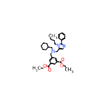 CCCCn1c(CN(Cc2cc(C(=O)OCC)cc(C(=O)OCC)c2)CC2CCCCC2)cnc1-c1ccccc1